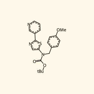 COc1ccc(CN(C(=O)OC(C)(C)C)c2cnc(-c3cccnc3)s2)cc1